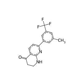 Cc1cc(-c2ccc3c(n2)NCCC3=O)cc(C(F)(F)F)c1